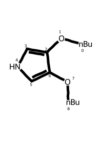 CCCCOc1c[nH]cc1OCCCC